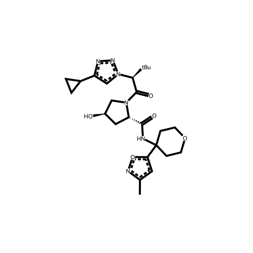 Cc1cc(C2(NC(=O)[C@@H]3C[C@@H](O)CN3C(=O)[C@@H](n3cc(C4CC4)nn3)C(C)(C)C)CCOCC2)on1